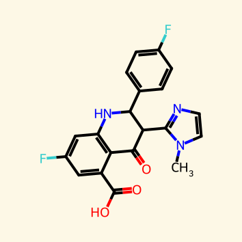 Cn1ccnc1C1C(=O)c2c(cc(F)cc2C(=O)O)NC1c1ccc(F)cc1